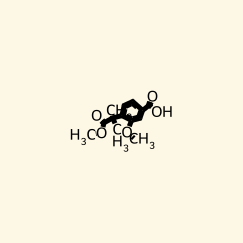 COC(=O)C(C)(C)c1ccc(C(=O)O)cc1OC